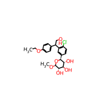 CCOc1ccc(C(CO)c2cc([C@@H]3O[C@H](OC)[C@@H](O)[C@H](O)[C@H]3O)ccc2Cl)cc1